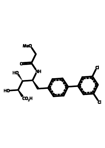 COCC(=O)N[C@@H](Cc1ccc(-c2cc(Cl)cc(Cl)c2)cc1)[C@@H](O)[C@H](O)C(=O)O